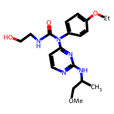 CCOc1ccc(N(C(=O)NCCO)c2ccnc(NC(C)COC)n2)cc1